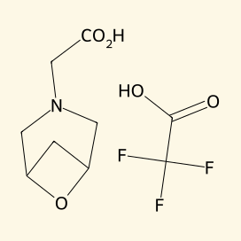 O=C(O)C(F)(F)F.O=C(O)CN1CC2CC(C1)O2